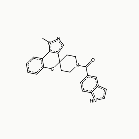 Cn1ncc2c1-c1ccccc1OC21CCN(C(=O)c2ccc3[nH]ccc3c2)CC1